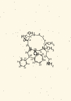 CC1(C)CCCCC(C)(C)N(CCCN)CC(=O)N(CC(c2ccccc2)c2ccccc2)CC1=O